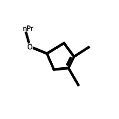 CCCOC1CC(C)=C(C)C1